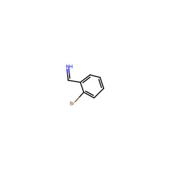 N=Cc1ccccc1Br